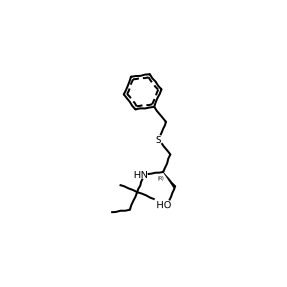 CCC(C)(C)N[C@H](CO)CSCc1ccccc1